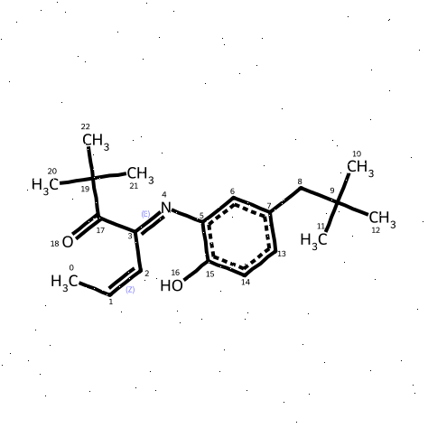 C/C=C\C(=N/c1cc(CC(C)(C)C)ccc1O)C(=O)C(C)(C)C